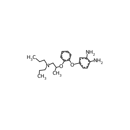 CCCN(CCC)CC(C)Oc1ccccc1Oc1ccc(N)c(N)c1